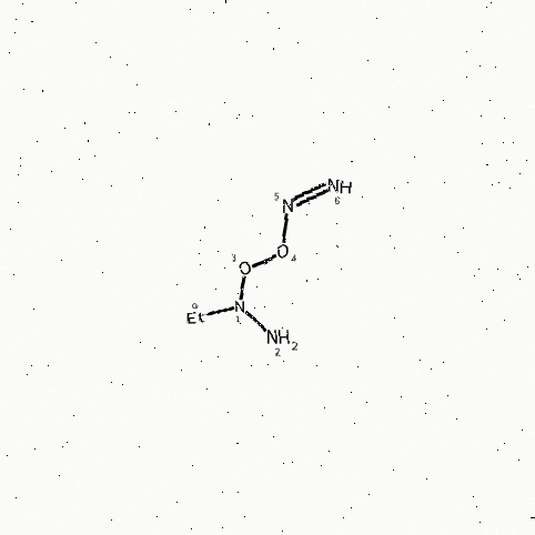 CCN(N)OON=N